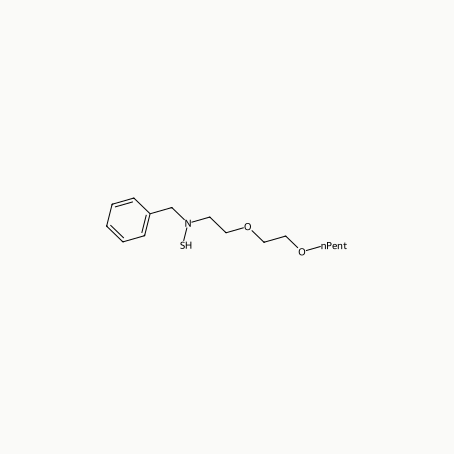 CCCCCOCCOCCN(S)Cc1ccccc1